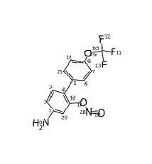 Nc1ccc(-c2ccc(OC(F)(F)F)cc2)c(ON=O)c1